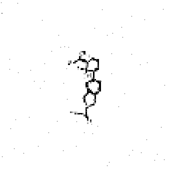 CCC(=O)N1Cc2ccc(C3=CC=C/C(=C(\C)CC)C3(C)F)cc2C1